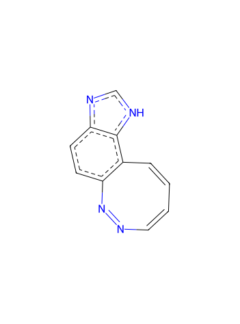 C1=CN=Nc2ccc3nc[nH]c3c2C=C1